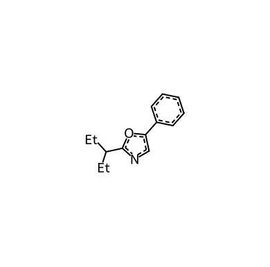 CCC(CC)c1ncc(-c2ccccc2)o1